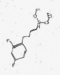 CCO[SiH](CCCCc1ccc(F)cc1F)OCC